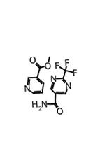 COC(=O)c1cccnc1.NC(=O)c1cnc(C(F)(F)F)nc1